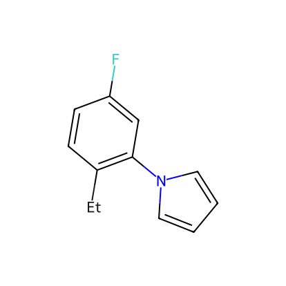 CCc1ccc(F)cc1-n1cccc1